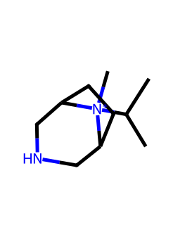 CC(C)[N+]1(C)C2CCC1CNC2